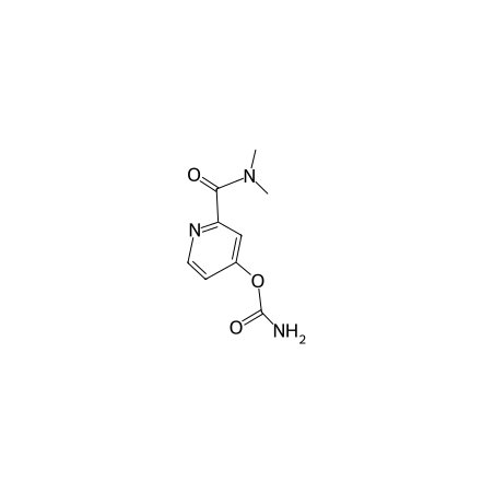 CN(C)C(=O)c1cc(OC(N)=O)ccn1